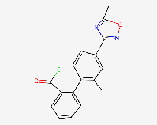 Cc1nc(-c2ccc(-c3ccccc3C(=O)Cl)c(C)c2)no1